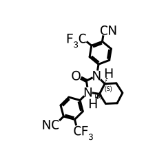 N#Cc1ccc(N2C(=O)N(c3ccc(C#N)c(C(F)(F)F)c3)[C@H]3CCCC[C@@H]32)cc1C(F)(F)F